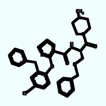 CN1CCN(C(=O)[C@@H](COCc2ccccc2)NC(=O)c2cccnc2Oc2ccc(Cl)cc2Cc2ccccc2)CC1